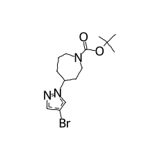 CC(C)(C)OC(=O)N1CCCC(n2cc(Br)cn2)CC1